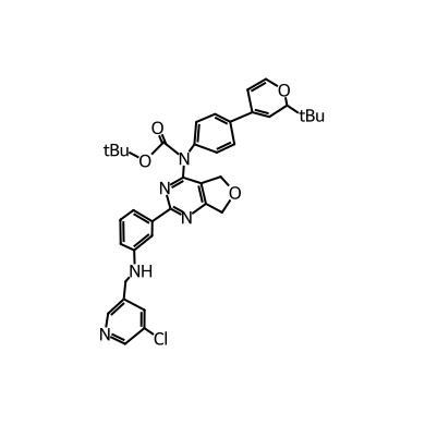 CC(C)(C)OC(=O)N(c1ccc(C2=CC(C(C)(C)C)OC=C2)cc1)c1nc(-c2cccc(NCc3cncc(Cl)c3)c2)nc2c1COC2